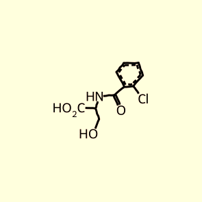 O=C(NC(CO)C(=O)O)c1ccccc1Cl